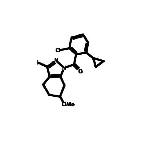 COC1CCc2c(I)nn(C(=O)c3c(Cl)cccc3C3CC3)c2C1